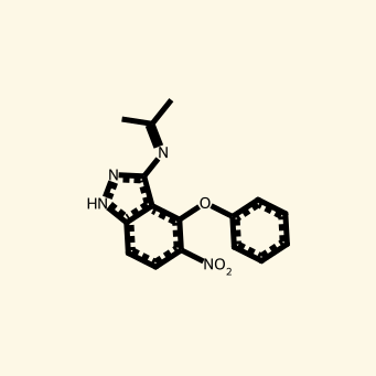 CC(C)=Nc1n[nH]c2ccc([N+](=O)[O-])c(Oc3ccccc3)c12